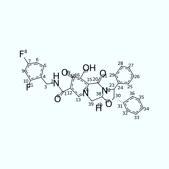 O=C(NCc1ccc(F)cc1F)c1cn2c(c(O)c1=O)C(=O)N1C(c3ccccc3)[C@H](c3ccccc3)O[C@H]1C2